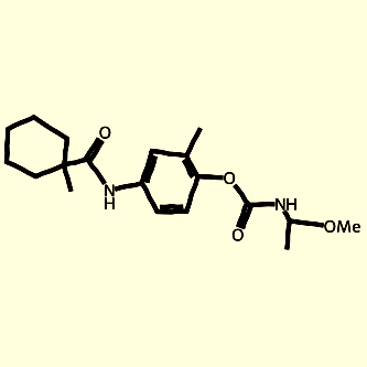 COC(C)NC(=O)Oc1ccc(NC(=O)C2(C)CCCCC2)cc1C